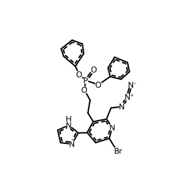 [N-]=[N+]=NCc1nc(Br)cc(-c2ncc[nH]2)c1CCOP(=O)(Oc1ccccc1)Oc1ccccc1